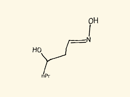 CCCC(O)CC=NO